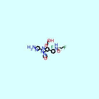 Nc1ccc(-c2nc(N3CCOCC3)c3cc(-c4cccc(N[S+]([O-])CCCF)c4F)cc(OCCO)c3n2)cn1